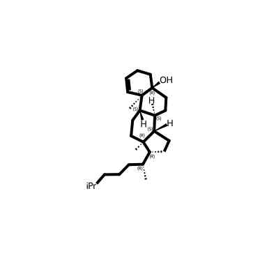 CC(C)CCC[C@@H](C)[C@H]1CC[C@H]2[C@@H]3CC[C@@]4(O)CCC=C[C@]4(C)[C@H]3CC[C@]12C